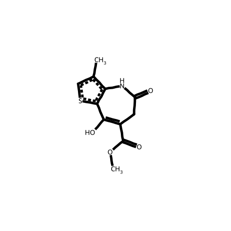 COC(=O)C1=C(O)c2scc(C)c2NC(=O)C1